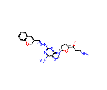 NCCC(=O)[C@@H]1CC[C@H](n2cnc3c(N)nc(N/N=C/C4=Cc5ccccc5OC4)nc32)O1